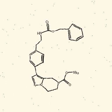 CC(C)(C)OC(=O)N1CCn2ncc(-c3ccc(CCNC(=O)OCc4ccccc4)cc3)c2C1